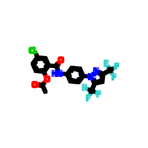 CC(=O)Oc1ccc(Cl)cc1C(=O)Nc1ccc(-n2nc(C(F)(F)F)cc2C(F)(F)F)cc1